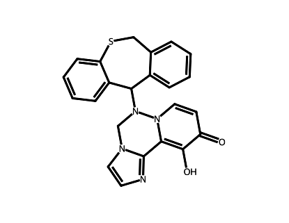 O=c1ccn2c(c1O)-c1nccn1CN2C1c2ccccc2CSc2ccccc21